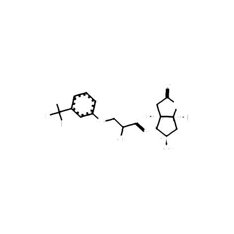 O=C1C[C@@H]2[C@@H](C=CC(O)COc3cccc(C(F)(F)F)c3)[C@H](O)C[C@@H]2O1